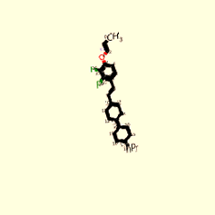 C/C=C/Oc1ccc(CCC2CCC(C3CCC(CCC)CC3)CC2)c(F)c1F